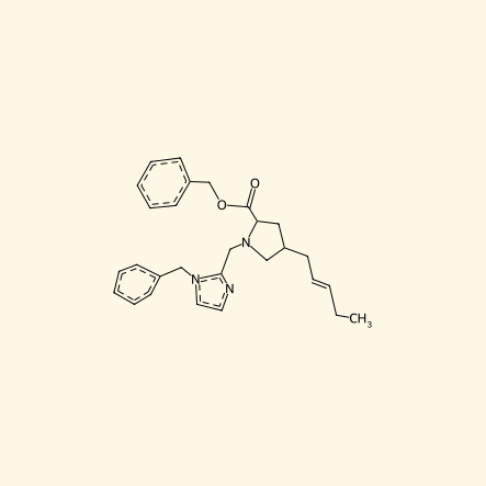 CCC=CCC1CC(C(=O)OCc2ccccc2)N(Cc2nccn2Cc2ccccc2)C1